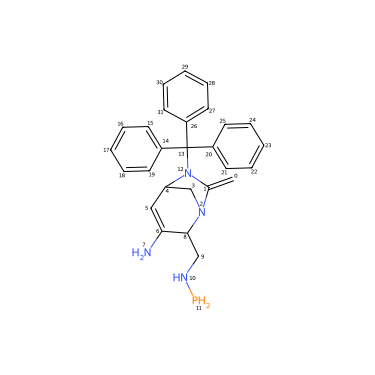 C=C1N2CC(C=C(N)C2CNP)N1C(c1ccccc1)(c1ccccc1)c1ccccc1